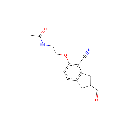 CC(=O)NCCOc1ccc2c(c1C#N)CC(C=O)C2